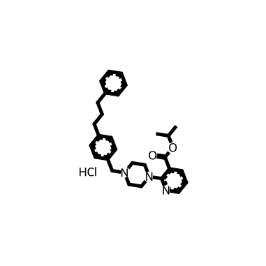 CC(C)OC(=O)c1cccnc1N1CCN(Cc2ccc(CCCc3ccccc3)cc2)CC1.Cl